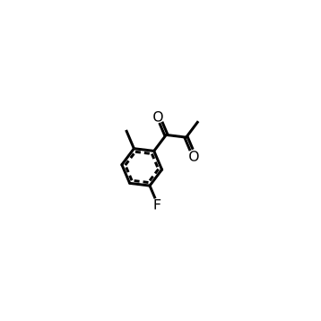 CC(=O)C(=O)c1cc(F)ccc1C